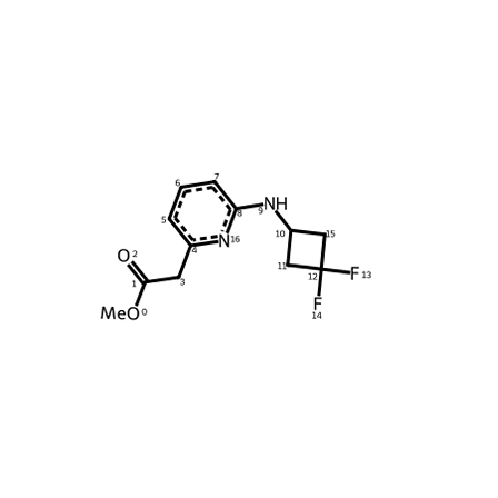 COC(=O)Cc1cccc(NC2CC(F)(F)C2)n1